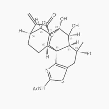 C=C1C(=O)[C@]23[C@H](O)[C@H]1CC[C@H]2[C@@]12CO[C@@]3(O)[C@@H](O)[C@@H]1[C@](C)(CC)Cc1sc(NC(C)=O)nc12